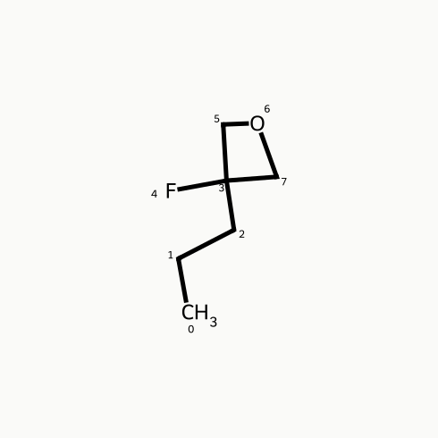 CCCC1(F)COC1